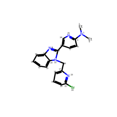 CCN(CC)c1ccc(-c2nc3ccccc3n2Cc2cccc(Br)n2)cn1